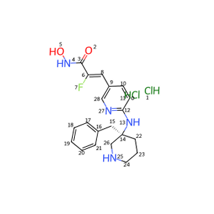 Cl.Cl.O=C(NO)/C(F)=C/c1ccc(N[C@@]2(Cc3ccccc3)CCCNC2)nc1